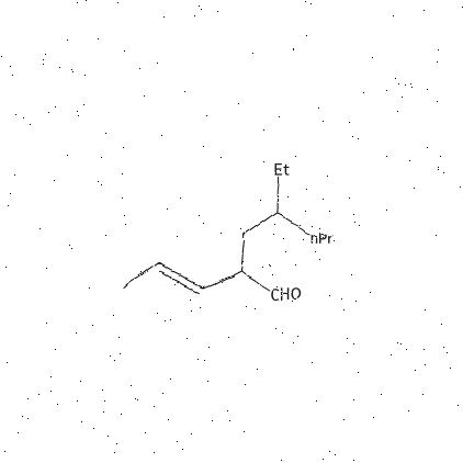 C/C=C/C(C=O)CC(CC)CCC